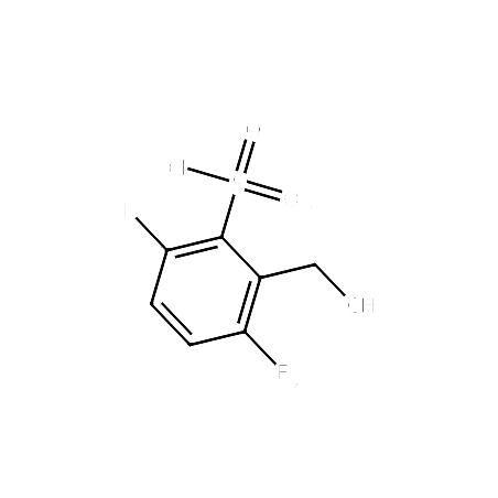 CCc1c(F)ccc(F)c1S(=O)(=O)Cl